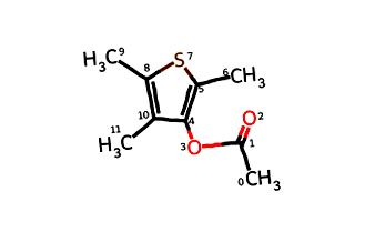 CC(=O)Oc1c(C)sc(C)c1C